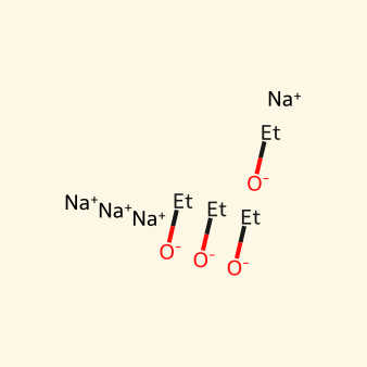 CC[O-].CC[O-].CC[O-].CC[O-].[Na+].[Na+].[Na+].[Na+]